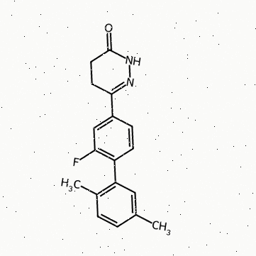 Cc1ccc(C)c(-c2ccc(C3=NNC(=O)CC3)cc2F)c1